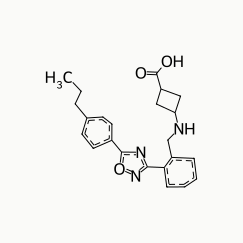 CCCc1ccc(-c2nc(-c3ccccc3CNC3CC(C(=O)O)C3)no2)cc1